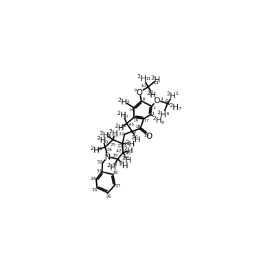 [2H]c1c(OC([2H])([2H])[2H])c(OC([2H])([2H])[2H])c([2H])c2c1C(=O)C([2H])(CC1([2H])C([2H])([2H])C([2H])([2H])N(Cc3ccccc3)C([2H])([2H])C1([2H])[2H])C2([2H])[2H]